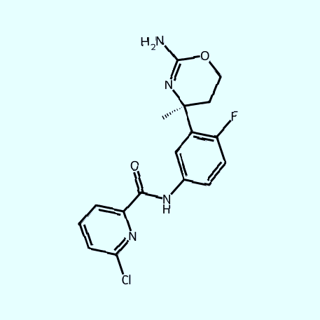 C[C@@]1(c2cc(NC(=O)c3cccc(Cl)n3)ccc2F)CCOC(N)=N1